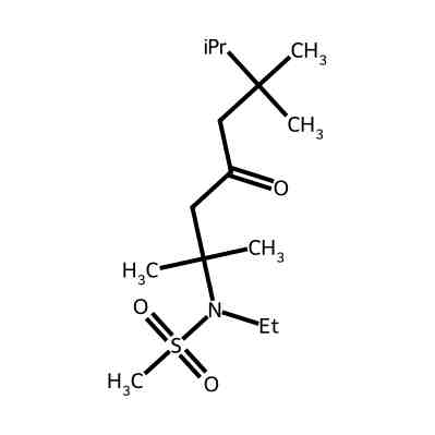 CCN(C(C)(C)CC(=O)CC(C)(C)C(C)C)S(C)(=O)=O